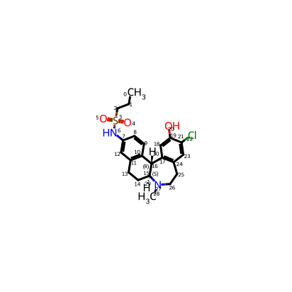 CCCS(=O)(=O)Nc1ccc2c(c1)CC[C@H]1[C@H]2c2cc(O)c(Cl)cc2CCN1C